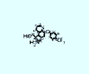 NCc1cc(Oc2ccc(C(F)(F)F)cc2)c2ncccc2c1C(O)CO